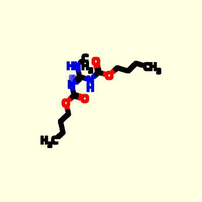 CCCCOC(=O)/N=C(/NC)NC(=O)OCCCC